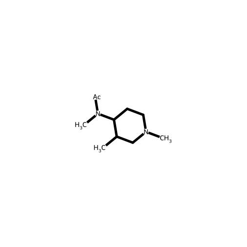 CC(=O)N(C)C1CCN(C)CC1C